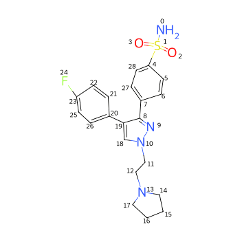 NS(=O)(=O)c1ccc(-c2nn(CCN3CCCC3)cc2-c2ccc(F)cc2)cc1